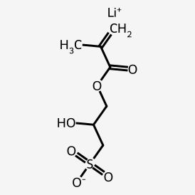 C=C(C)C(=O)OCC(O)CS(=O)(=O)[O-].[Li+]